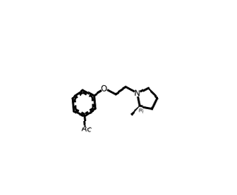 CC(=O)c1cccc(OCCN2CCC[C@H]2C)c1